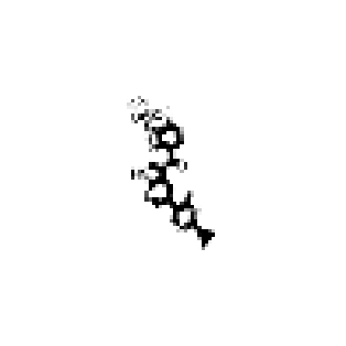 CCCS(=O)(=O)Nc1c(F)ccc(C(=O)c2c[nH]c3ncc(-c4cnc(C5CC5)nc4C)cc23)c1F